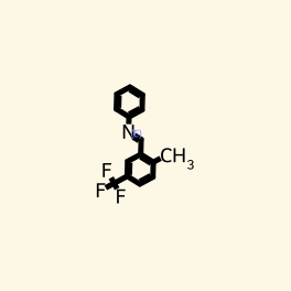 Cc1ccc(C(F)(F)F)cc1/C=N/c1ccccc1